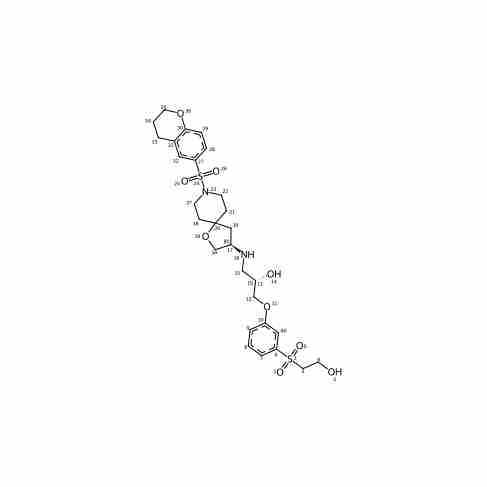 O=S(=O)(CCO)c1cccc(OC[C@@H](O)CN[C@H]2COC3(CCN(S(=O)(=O)c4ccc5c(c4)CCCO5)CC3)C2)c1